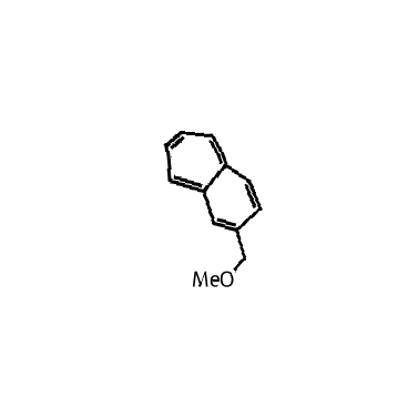 COCc1ccc2ccccc2c1